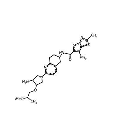 COC(C)COC1CN(c2ccc3c(n2)CCC(NC(=O)c2sc4nc(C)sc4c2N)C3)CC1N